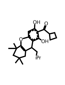 CC(C)CC1C2=C(Oc3cc(O)c(C(=O)C4CCC4)c(O)c31)C(C)(C)CC(C)(C)C2